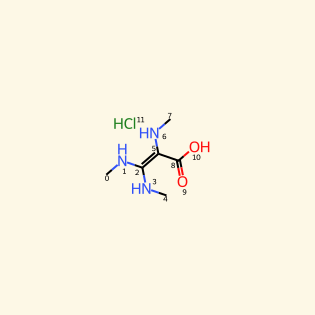 CNC(NC)=C(NC)C(=O)O.Cl